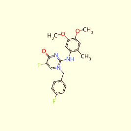 COc1cc(C)c(Nc2nc(=O)c(F)cn2Cc2ccc(F)cc2)cc1OC